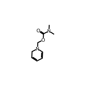 CN(C)C(=O)OCN1C=CC=CC1